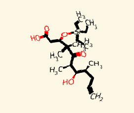 C=CC[C@H](C)[C@@H](O)[C@@H](C)C(=O)C(C)(C)C(=CC(=O)O)O[Si](CC)(CC)CC